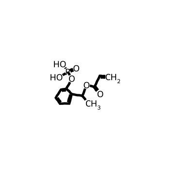 C=CC(=O)OC(C)c1ccccc1OP(=O)(O)O